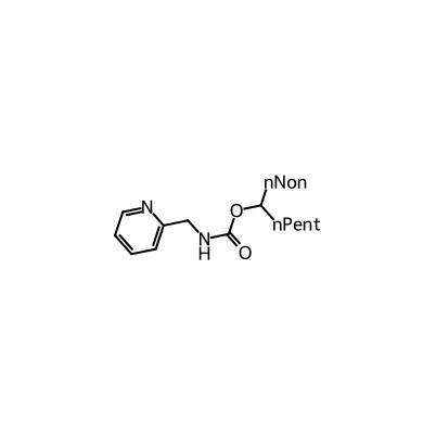 CCCCCCCCCC(CCCCC)OC(=O)NCc1ccccn1